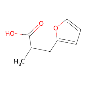 CC(Cc1ccco1)C(=O)O